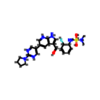 CN(C)S(=O)(=O)Nc1cccc(C(=O)c2c[nH]c3ncc(-c4cnc(N5CCCC5)nc4)cc23)c1F